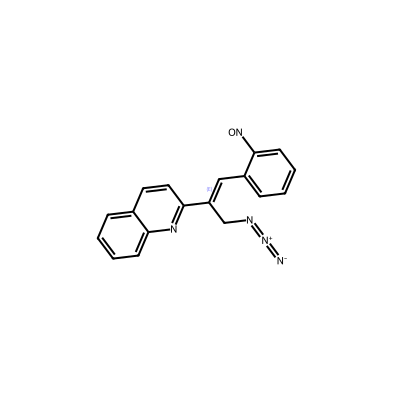 [N-]=[N+]=NC/C(=C\c1ccccc1N=O)c1ccc2ccccc2n1